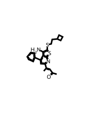 CC(=O)/C=C(\C)c1cc(-c2ccccc2)c2c(N)c(SCCC3CCC3)sc2n1